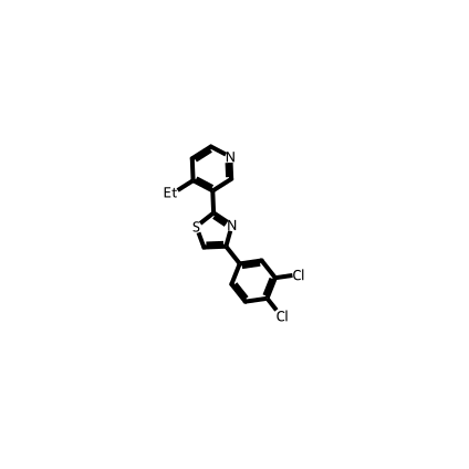 CCc1ccncc1-c1nc(-c2ccc(Cl)c(Cl)c2)cs1